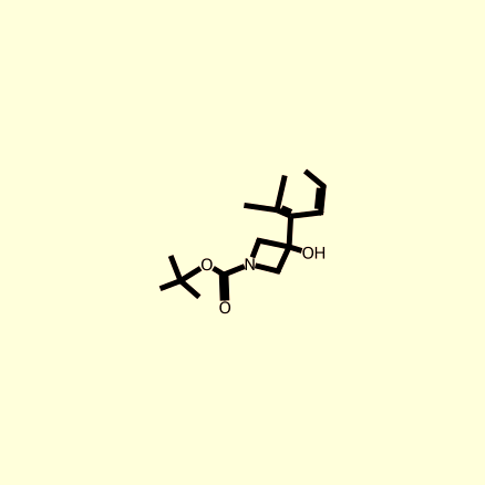 C/C=C\C(=C(C)C)C1(O)CN(C(=O)OC(C)(C)C)C1